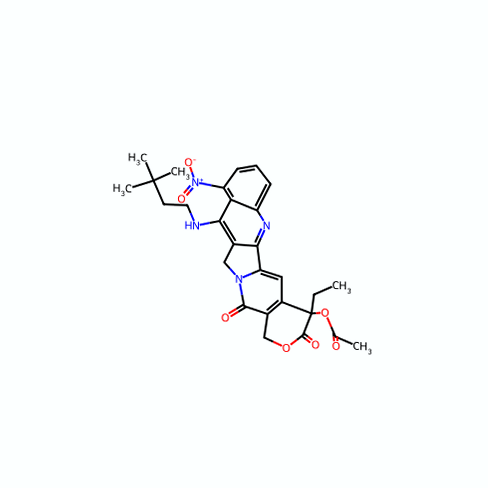 CCC1(OC(C)=O)C(=O)OCc2c1cc1n(c2=O)Cc2c-1nc1cccc([N+](=O)[O-])c1c2NCCC(C)(C)C